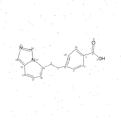 O=C(O)c1ccc(CCc2cccc3cncn23)cc1